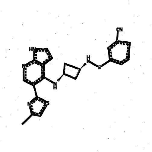 Cc1csc(-c2cnc3[nH]ccc3c2N[C@H]2C[C@@H](NSc3cccc(C#N)c3)C2)n1